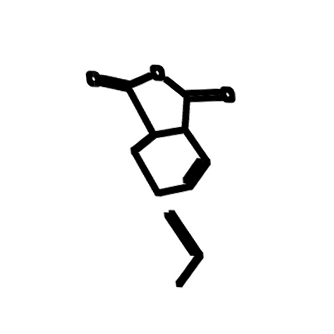 C=CC.O=C1OC(=O)C2CCC=CC12